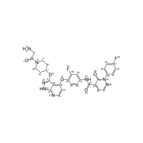 NCC(=O)N1CCC(Oc2n[nH]c3nccc(Oc4ccc(NC(=O)c5ccnn(-c6ccc(F)cc6)c5=O)cc4F)c23)CC1